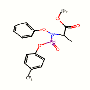 CC(C)OC(=O)C(C)N(Oc1ccccc1)[PH](=O)Oc1ccc(C(F)(F)F)cc1